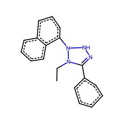 CCN1C(c2ccccc2)=NNN1c1cccc2ccccc12